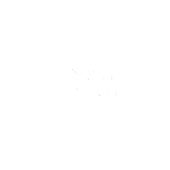 COc1ccc(O[C@H]2O[C@H](C(O)Cc3ccccc3)[C@@H](O)[C@@](O)(Cc3ccccc3)[C@@H]2N2C(=O)c3ccccc3C2=O)cc1